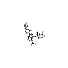 CN(C)Cc1ccnc2c1c(CNC(=O)OC(C)(C)C)nn2-c1ccc(OC(F)(F)F)cc1